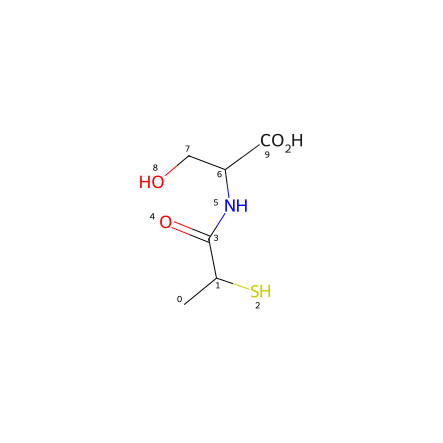 CC(S)C(=O)NC(CO)C(=O)O